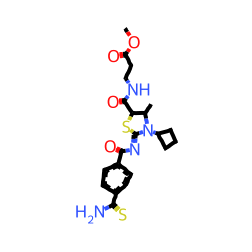 COC(=O)CCNC(=O)C1SC(=NC(=O)c2ccc(C(N)=S)cc2)N(C2CCC2)C1C